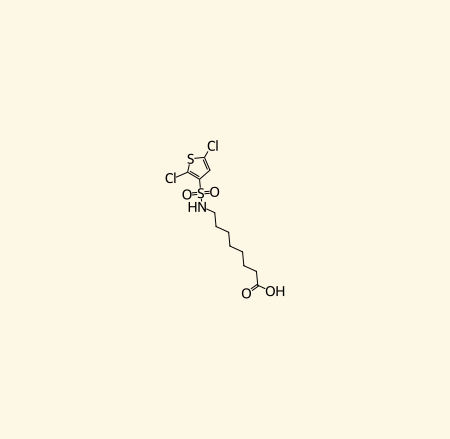 O=C(O)CCCCCCCNS(=O)(=O)c1cc(Cl)sc1Cl